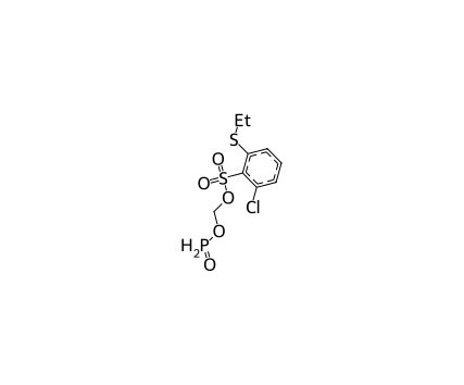 CCSc1cccc(Cl)c1S(=O)(=O)OCO[PH2]=O